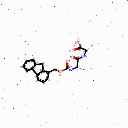 C[C@H](NC(=O)[C@H](C)NC(=O)OCc1cccc2c1Cc1ccccc1-2)C(=O)O